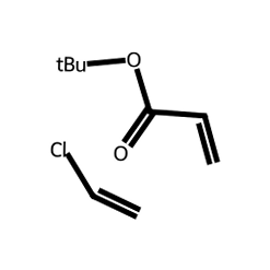 C=CC(=O)OC(C)(C)C.C=CCl